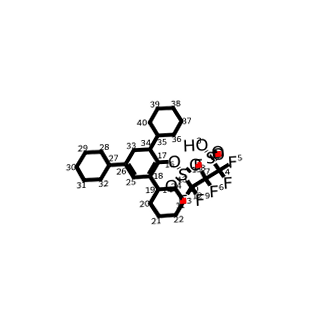 O=S(=O)(O)C(F)(F)C(F)(F)C(F)(F)S(=O)(=O)OC1=C(C2CCCCC2)C=C(C2CCCCC2)CC1C1CCCCC1